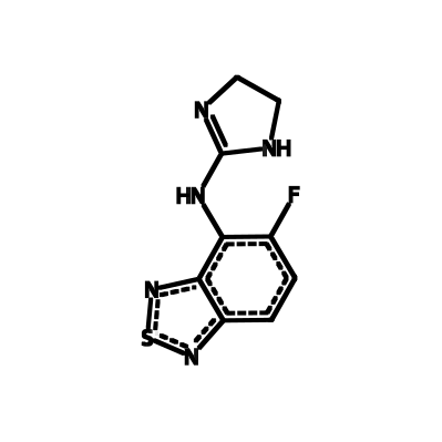 Fc1ccc2nsnc2c1NC1=NCCN1